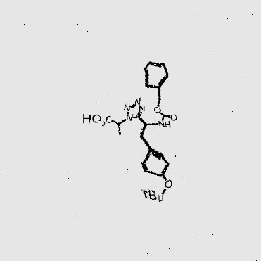 CC(C(=O)O)n1nnnc1C(Cc1ccc(OC(C)(C)C)cc1)NC(=O)OCc1ccccc1